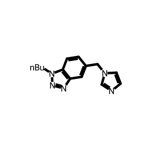 CCCCn1nnc2cc(Cn3ccnc3)ccc21